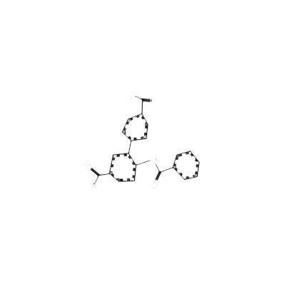 O=C(Cl)c1ccc(-c2cc(C(=O)Cl)ccc2OC(=O)c2ccccc2)cc1